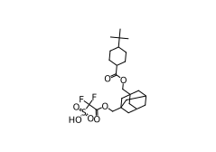 CC(C)(C)C1CCC(C(=O)OCC23CC4CC(C2)CC(COC(=O)C(F)(F)S(=O)(=O)O)(C4)C3)CC1